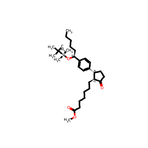 CCCCC[C@H](O[Si](C)(C)C(C)(C)C)c1ccc([C@@H]2CCC(=O)[C@H]2CCCCCCC(=O)OC)cc1